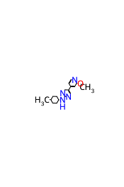 COc1cc(-c2cnc(N[C@H]3CC[C@H](C)CC3)nc2)ccn1